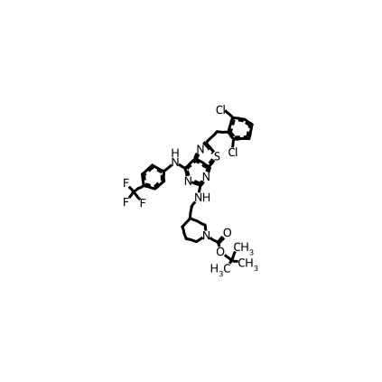 CC(C)(C)OC(=O)N1CCCC(CNc2nc(Nc3ccc(C(F)(F)F)cc3)c3nc(Cc4c(Cl)cccc4Cl)sc3n2)C1